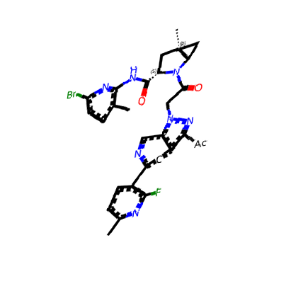 CC(=O)c1nn(CC(=O)N2C3C[C@]3(C)C[C@H]2C(=O)Nc2nc(Br)ccc2C)c2cnc(-c3ccc(C)nc3F)cc12